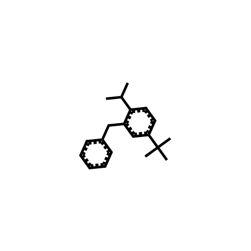 CC(C)c1ccc(C(C)(C)C)cc1Cc1ccccc1